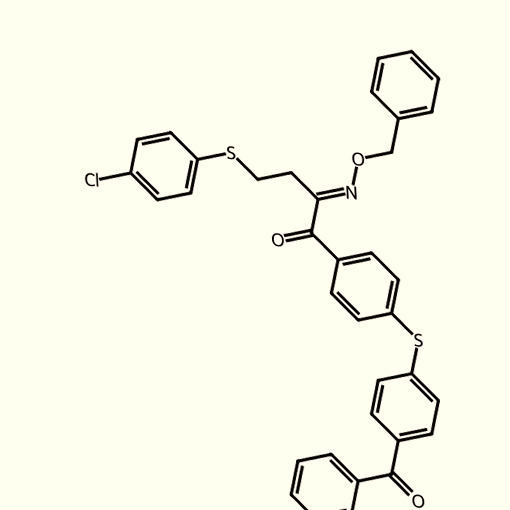 O=C(/C(CCSc1ccc(Cl)cc1)=N/OCc1ccccc1)c1ccc(Sc2ccc(C(=O)c3ccccc3)cc2)cc1